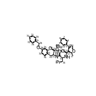 Cc1onc(-c2ccccc2)c1C(=O)NC(CC(C)C)C(=O)NC(Cc1ccc(OCc2ccccc2)cc1)C(=O)OC(C)(C)C